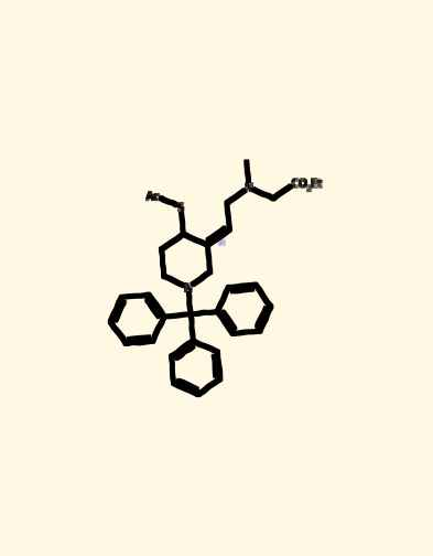 CCOC(=O)CN(C)C/C=C1/CN(C(c2ccccc2)(c2ccccc2)c2ccccc2)CCC1SC(C)=O